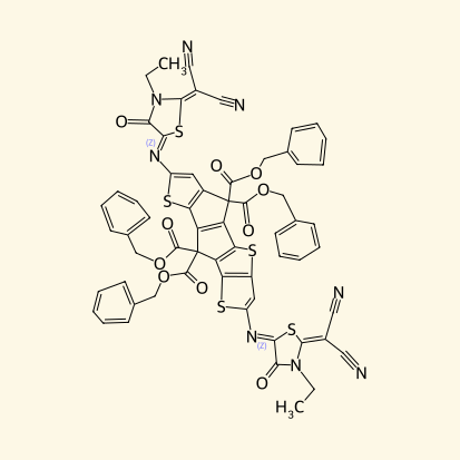 CCN1C(=O)/C(=N/c2cc3c(s2)C2=C(c4sc5cc(/N=C6\SC(=C(C#N)C#N)N(CC)C6=O)sc5c4C2(C(=O)OCc2ccccc2)C(=O)OCc2ccccc2)C3(C(=O)OCc2ccccc2)C(=O)OCc2ccccc2)SC1=C(C#N)C#N